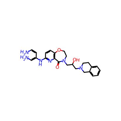 N/C=C\C(=C/N)Nc1ccc2c(n1)C(=O)N(CC(O)CN1CCc3ccccc3C1)CCO2